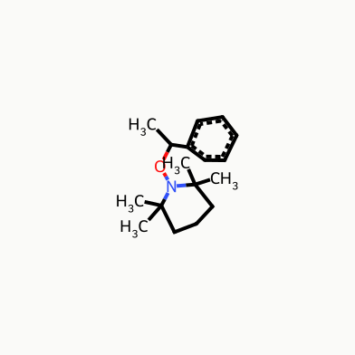 CC(ON1C(C)(C)CCCC1(C)C)c1ccccc1